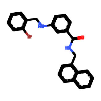 O=C(NCc1cccc2ccccc12)c1cccc(NCc2ccccc2Br)c1